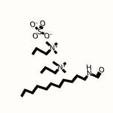 CCCCCCCCCCCNC=O.CCC[N+](C)(C)C.CCC[N+](C)(C)C.O=S(=O)([O-])[O-]